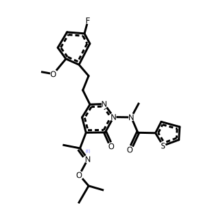 COc1ccc(F)cc1CCc1cc(/C(C)=N/OC(C)C)c(=O)n(N(C)C(=O)c2cccs2)n1